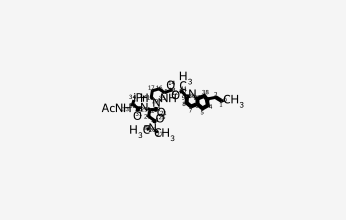 C/C=C/c1ccc2ccc([C@@H](C)OC(=O)C3CCCN(C(=O)C(CC(=O)N(C)C)NC(=O)[C@@H](NC(C)=O)C(C)C)N3)nc2c1